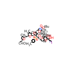 C=C1C(C[C@@H]2O[C@H](C[C@H]3CN(C(=O)OC(C)(C)C)C(C)(C)O3)[C@H](OC)[C@H]2C(C(=O)C[C@H]2CC[C@@H]3O[C@@H]([C@@H](O)/C=C/I)[C@@H](O)[C@@H](OC)[C@H]3O2)S(=O)(=O)c2ccc(C)cc2)O[C@@H](CC[C@@H]2O[C@@H](CCC=O)CC2=C)C[C@H]1C